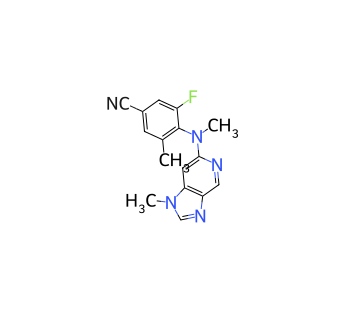 Cc1cc(C#N)cc(F)c1N(C)c1cc2c(cn1)ncn2C